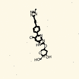 Cn1nnc(C#Cc2ccc(-c3nc4nc(OC5CO[C@H](CO)[C@@H](O)C5)[nH]c4cc3Cl)cc2)n1